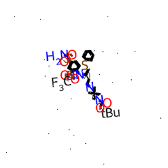 CC(C)(C)OC(=O)N1CC2(CN(CC[C@H](CSc3ccccc3)Nc3ccc(S(N)(=O)=O)cc3S(=O)(=O)C(F)(F)F)C2)C1